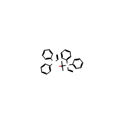 C=C[Si](OC(C)(C)[Si](C=C)(c1ccccc1)c1ccccc1)(c1ccccc1)c1ccccc1